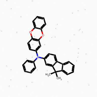 CC1(C)c2ccccc2-c2ccc(N(c3ccccc3)c3ccc4c(c3)Oc3ccccc3O4)cc21